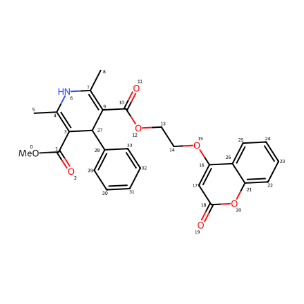 COC(=O)C1=C(C)NC(C)=C(C(=O)OCCOc2cc(=O)oc3ccccc23)C1c1ccccc1